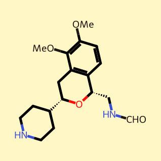 COc1ccc2c(c1OC)C[C@@H](C1CCNCC1)O[C@H]2CNC=O